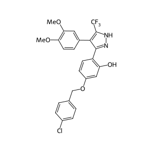 COc1ccc(-c2c(-c3ccc(OCc4ccc(Cl)cc4)cc3O)n[nH]c2C(F)(F)F)cc1OC